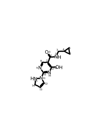 O=C(NCC1CC1)c1cnc(N2C=CCN2)nc1O